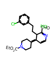 CCOC(=O)N1CCC(=C2C=CN=C(C=O)C2CCc2cccc(Cl)c2)CC1.Cl